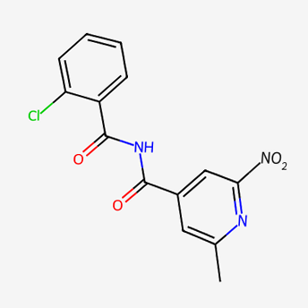 Cc1cc(C(=O)NC(=O)c2ccccc2Cl)cc([N+](=O)[O-])n1